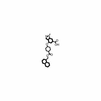 Cn1ncc2c(OC3CCC(C(=O)OCc4cccc5ccccc45)CC3)cc(C(=O)O)cc21